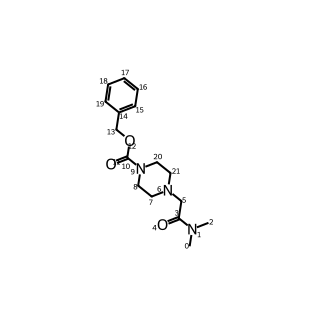 CN(C)C(=O)CN1CCN(C(=O)OCc2ccccc2)CC1